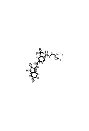 CN(C)CCNc1ccc(NC=C2C(=O)Nc3cc(F)ccc32)cc1C(F)(F)F